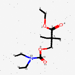 CCOC(=O)C(C)(C)COC(=O)N(CC)CC